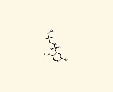 CC(C)(CO)CNS(=O)(=O)c1cc(Br)cnc1N